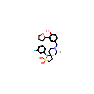 C[C@H]1C[C@]2(CCN1Cc1ccc(O)c(C3CCCO3)c1)CCS(O)(O)N2c1cccc(F)c1